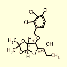 CC[C@@H](O)[C@H]1O[C@@H]2OC(C)(C)O[C@@H]2[C@H]1OCc1ccc(Cl)c(Cl)c1Cl